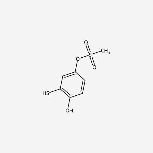 CS(=O)(=O)Oc1ccc(O)c(S)c1